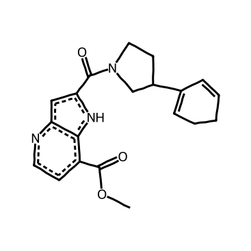 COC(=O)c1ccnc2cc(C(=O)N3CCC(C4=CCCC=C4)C3)[nH]c12